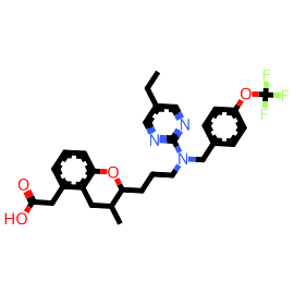 CCc1cnc(N(CCCC2Oc3cccc(CC(=O)O)c3CC2C)Cc2ccc(OC(F)(F)F)cc2)nc1